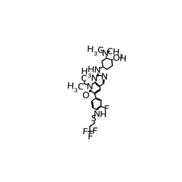 CC(C)n1c(=O)c(-c2ccc(NSCCC(F)(F)F)c(F)c2)cc2cnc(NC3CCC(O)C(N(C)C)C3)nc21